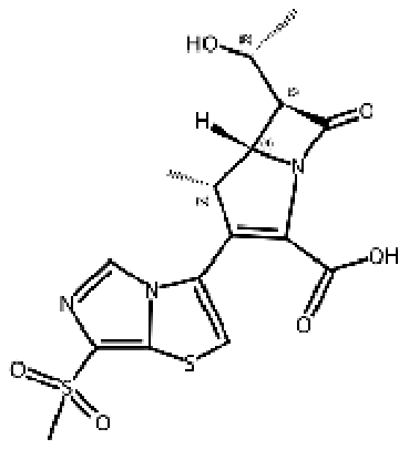 C[C@@H](O)[C@H]1C(=O)N2C(C(=O)O)=C(c3csc4c(S(C)(=O)=O)ncn34)[C@H](C)[C@H]12